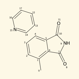 Cc1cccc2c1C(=O)NC2=O.c1ccncc1